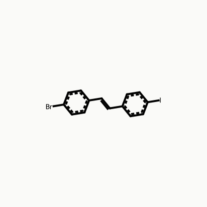 Brc1ccc(C=Cc2ccc(I)cc2)cc1